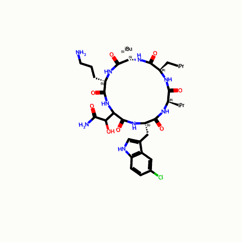 CC[C@H](C)[C@@H]1NC(=O)[C@@H](CC(C)C)NC(=O)[C@@H](C(C)C)NC(=O)[C@H](Cc2c[nH]c3ccc(Cl)cc23)NC(=O)C(C(O)C(N)=O)NC(=O)[C@H](CCCN)NC1=O